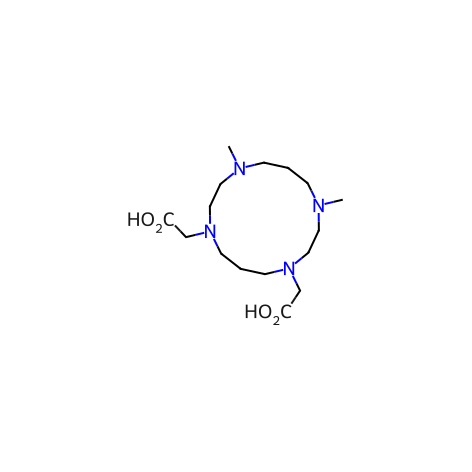 CN1CCCN(C)CCN(CC(=O)O)CCCN(CC(=O)O)CC1